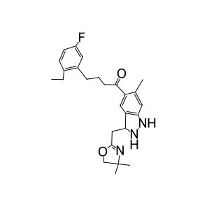 CCc1ccc(F)cc1CCCC(=O)c1cc2c(cc1C)NNC2CC1=NC(C)(C)CO1